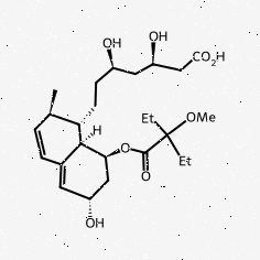 CCC(CC)(OC)C(=O)O[C@H]1C[C@H](O)C=C2C=C[C@@H](C)[C@H](CC[C@@H](O)C[C@@H](O)CC(=O)O)[C@H]21